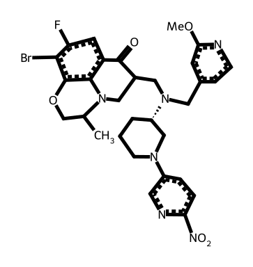 COc1cc(CN(CC2CN3c4c(cc(F)c(Br)c4OCC3C)C2=O)[C@H]2CCCN(c3ccc([N+](=O)[O-])nc3)C2)ccn1